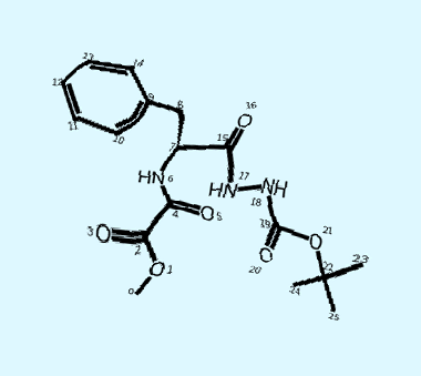 COC(=O)C(=O)N[C@@H](Cc1ccccc1)C(=O)NNC(=O)OC(C)(C)C